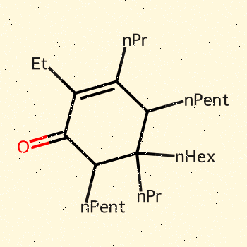 CCCCCCC1(CCC)C(CCCCC)C(=O)C(CC)=C(CCC)C1CCCCC